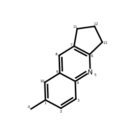 Cc1ccc2nc3c(cc2c1)CCC3